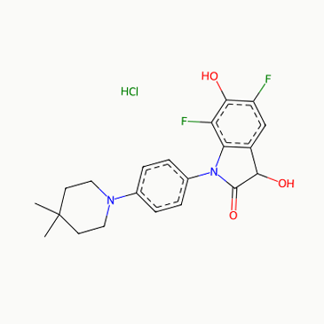 CC1(C)CCN(c2ccc(N3C(=O)C(O)c4cc(F)c(O)c(F)c43)cc2)CC1.Cl